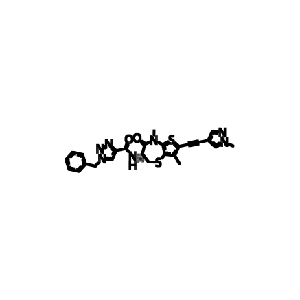 Cc1c(C#Cc2cnn(C)c2)sc2c1SC[C@H](NC(=O)c1cn(Cc3ccccc3)nn1)C(=O)N2C